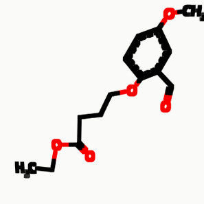 CCOC(=O)CCCOc1ccc(OC)cc1C=O